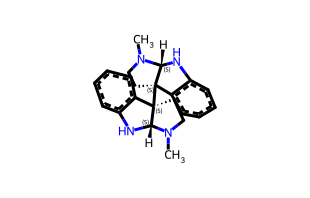 CN1CC[C@@]2([C@@]34CCN(C)[C@@H]3Nc3ccccc34)c3ccccc3N[C@@H]12